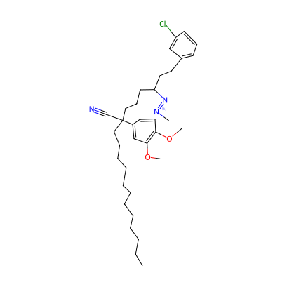 CCCCCCCCCCCCC(C#N)(CCCC(CCc1cccc(Cl)c1)/N=N/C)c1ccc(OC)c(OC)c1